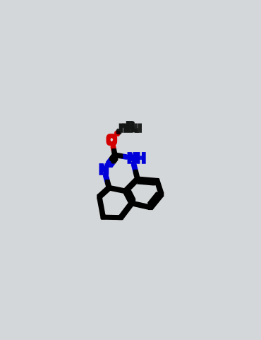 CCCCOC1=NC2CCCc3cccc(c32)N1